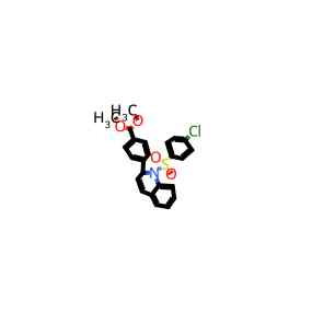 COC(OC)c1ccc(C2C=Cc3ccccc3N2S(=O)(=O)c2ccc(Cl)cc2)cc1